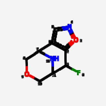 FC1c2oncc2C2COCC1N2